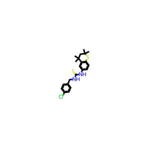 CC1(C)CC(C)(C)c2cc(NC(=S)NCc3ccc(Cl)cc3)ccc2S1